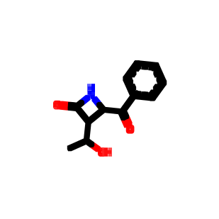 CC(O)C1C(=O)NC1C(=O)c1ccccc1